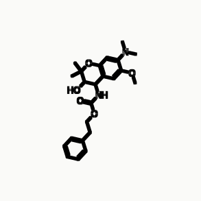 COc1cc2c(cc1N(C)C)OC(C)(C)C(O)C2NC(=O)OCCc1ccccc1